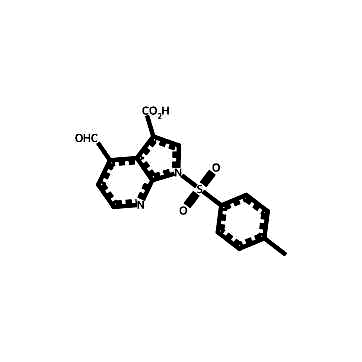 Cc1ccc(S(=O)(=O)n2cc(C(=O)O)c3c(C=O)ccnc32)cc1